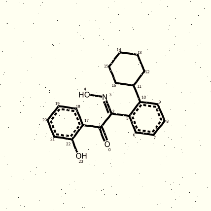 O=C(C(=NO)c1ccccc1C1CCCCC1)c1ccccc1O